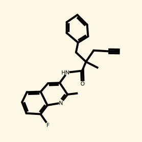 C#CCC(C)(Cc1ccccc1)C(=O)Nc1cc2cccc(F)c2nc1C